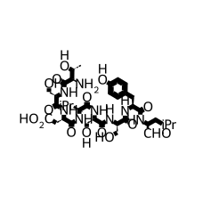 CC(C)C[C@@H]([C]=O)NC(=O)[C@H](Cc1ccc(O)cc1)NC(=O)[C@H](CO)NC(=O)[C@H](CO)NC(=O)[C@@H](NC(=O)[C@H](CC(=O)O)NC(=O)[C@H](CO)NC(=O)[C@@H](N)[C@@H](C)O)C(C)C